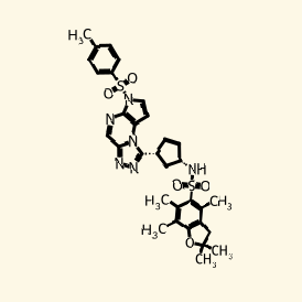 Cc1ccc(S(=O)(=O)n2ccc3c2ncc2nnc([C@@H]4CC[C@H](NS(=O)(=O)c5c(C)c(C)c6c(c5C)CC(C)(C)O6)C4)n23)cc1